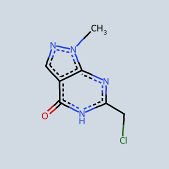 Cn1ncc2c(=O)[nH]c(CCl)nc21